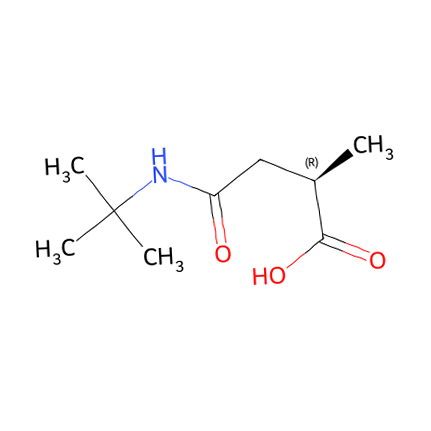 C[C@H](CC(=O)NC(C)(C)C)C(=O)O